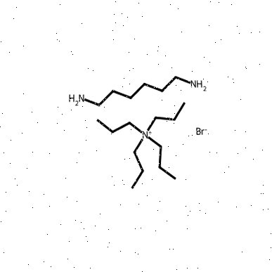 CCC[N+](CCC)(CCC)CCC.NCCCCCCN.[Br-]